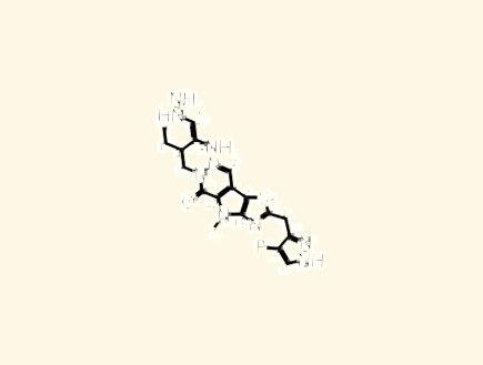 CCC(Cn1ncc2c3sc(Cc4n[nH]cc4F)nc3n(C)c2c1=O)/C(N)=C\NN